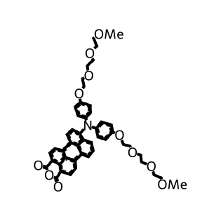 COCCOCCOCCOc1ccc(N(c2ccc(OCCOCCOCCOC)cc2)c2ccc3c4ccc5c6c(ccc(c7cccc2c73)c64)C(=O)OC5=O)cc1